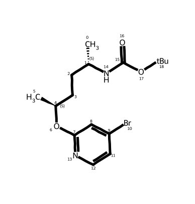 C[C@@H](CC[C@H](C)Oc1cc(Br)ccn1)NC(=O)OC(C)(C)C